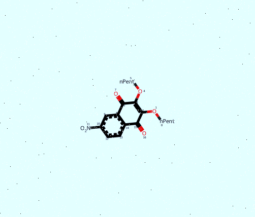 CCCCCOC1=C(OCCCCC)C(=O)c2cc([N+](=O)[O-])ccc2C1=O